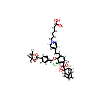 COC1(c2ccc(/C=C/c3cc[n+](CCCCCC(=O)O)cc3)c(OCc3ccc(B4OC(C)(C)C(C)(C)O4)cc3)c2Cl)OOC12C1CC3CC(C1)CC2C3